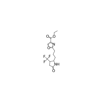 CCOC(=O)c1coc(CCCC2NC(=O)CC2C(F)(F)F)n1